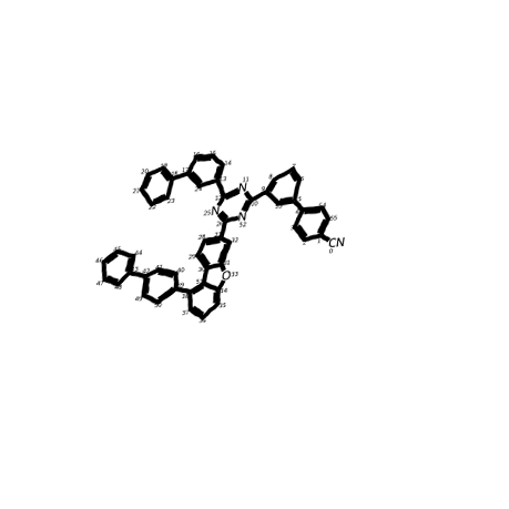 N#Cc1ccc(-c2cccc(-c3nc(-c4cccc(-c5ccccc5)c4)nc(-c4ccc5c(c4)oc4cccc(-c6ccc(-c7ccccc7)cc6)c45)n3)c2)cc1